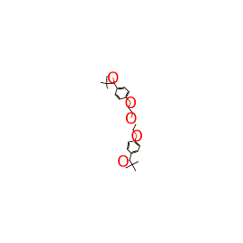 CC1(C)COC1c1ccc(OCCOCCOc2ccc(C3OCC3(C)C)cc2)cc1